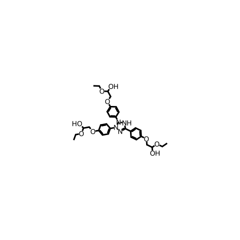 CCOC(O)COc1ccc(C2=NN(c3ccc(OCC(O)OCC)cc3)N(c3ccc(OCC(O)OCC)cc3)N2)cc1